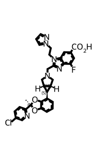 C[C@@]1(c2ccc(Cl)cn2)Oc2cccc([C@H]3[C@@H]4CN(Cc5nc6c(F)cc(C(=O)O)cc6n5CCn5cccn5)C[C@@H]43)c2O1